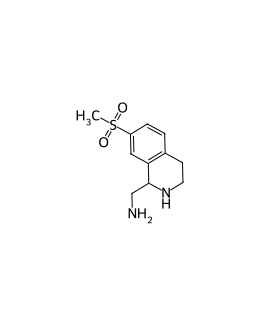 CS(=O)(=O)c1ccc2c(c1)C(CN)NCC2